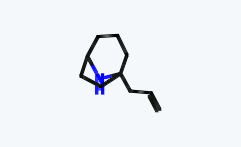 C=CCC12CCCC(CC1)N2